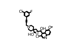 COc1ccc2ncc(Cl)c([C@H](O)CCC3(C(=O)O)CCN(CC#Cc4cc(F)cc(Cl)c4)CC3)c2c1